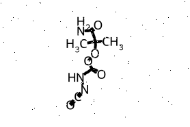 CC(C)(OOC(=O)NN=C=O)C(N)=O